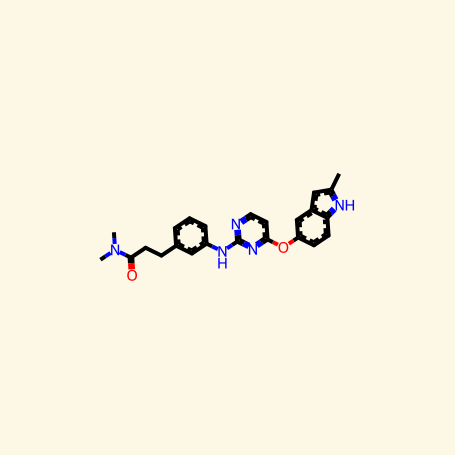 Cc1cc2cc(Oc3ccnc(Nc4cccc(CCC(=O)N(C)C)c4)n3)ccc2[nH]1